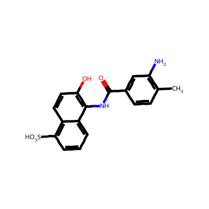 Cc1ccc(C(=O)Nc2c(O)ccc3c(S(=O)(=O)O)cccc23)cc1N